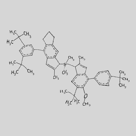 COc1c(C(C)(C)C)cc2c(c1-c1ccc(C(C)(C)C)cc1)C=C(C)C2[Si](C)(C)C1C(C)=Cc2c1cc1c(c2-c2cc(C(C)(C)C)cc(C(C)(C)C)c2)CCC1